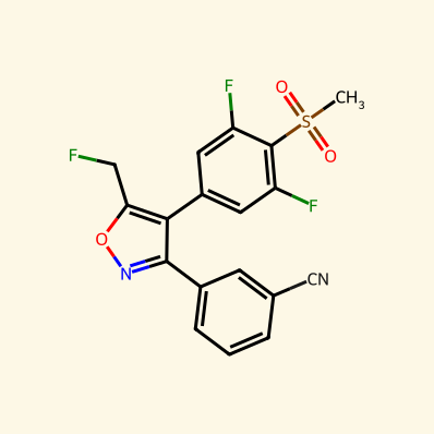 CS(=O)(=O)c1c(F)cc(-c2c(-c3cccc(C#N)c3)noc2CF)cc1F